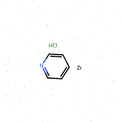 Cl.[Zr].c1ccncc1